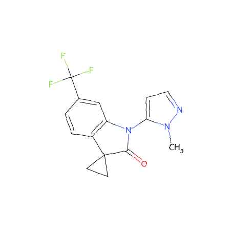 Cn1nccc1N1C(=O)C2(CC2)c2ccc(C(F)(F)F)cc21